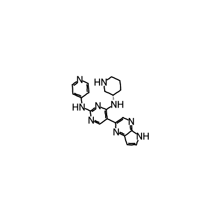 c1cc(Nc2ncc(-c3cnc4[nH]ccc4n3)c(N[C@H]3CCCNC3)n2)ccn1